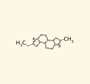 CCc1cc2c(ccc3c4cc(C)sc4ccc23)s1